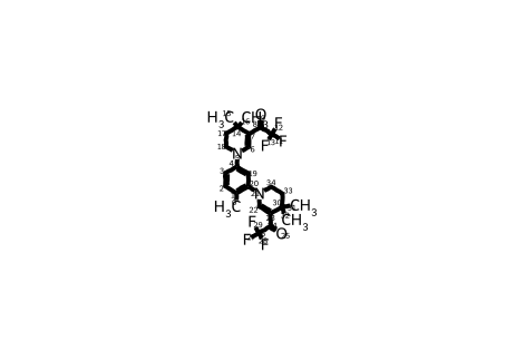 Cc1ccc(N2C=C(C(=O)C(F)(F)F)C(C)(C)CC2)cc1N1C=C(C(=O)C(F)(F)F)C(C)(C)CC1